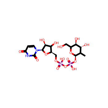 CC1[C@@H](OP(=O)(O)OP(=O)(O)OC[C@H]2O[C@@H](n3ccc(=O)[nH]c3=O)[C@@H](O)C2O)OC(CO)[C@@H](O)[C@@H]1O